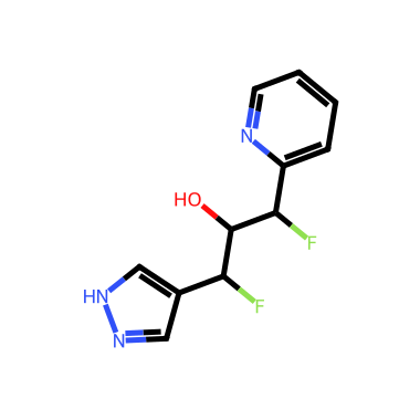 OC(C(F)c1cn[nH]c1)C(F)c1ccccn1